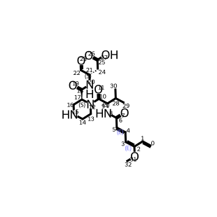 C=C/C(=C\C=C\C(=O)N[C@H](C(=O)N1CCNC[C@H]1C(=O)N[C@H](C=O)CC(=O)O)C(C)C)OC